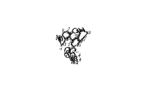 O=P([O-])([O-])[O-].Oc1ccc2ccccc2c1-c1cccc2ccccc12.[Na+].[Na+].[Na+]